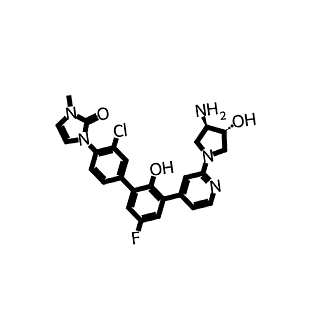 Cn1ccn(-c2ccc(-c3cc(F)cc(-c4ccnc(N5C[C@@H](N)[C@H](O)C5)c4)c3O)cc2Cl)c1=O